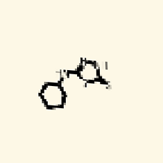 S=c1[nH]nc(NC2CCCCC2)s1